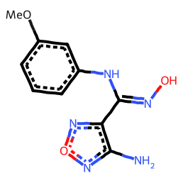 COc1cccc(N/C(=N\O)c2nonc2N)c1